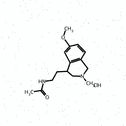 COc1ccc2c(c1)C(CCNC(C)=O)CN(C)C2.Cl